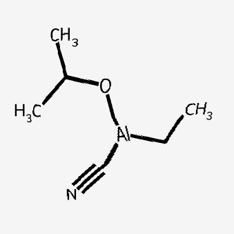 C[CH2][Al]([C]#N)[O]C(C)C